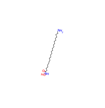 NCCCCCCCCCCCCCCCCCCCCCCCCC(=O)NO